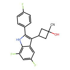 N#CC1(O)CC(c2c(-c3ccc(F)cc3)[nH]c3c(F)cc(F)cc23)C1